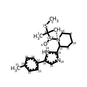 CSC(C)(C)[S+]([O-])N1CCCCC1c1ncc(-c2ccc(C)cc2)[nH]1